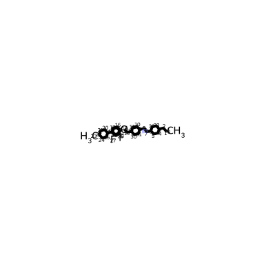 CCCC1CCC(/C=C/C2C=CC(COc3ccc(C4CCC(C)CC4)c(F)c3F)CC2)CC1